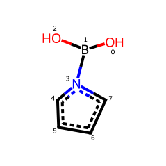 OB(O)n1cccc1